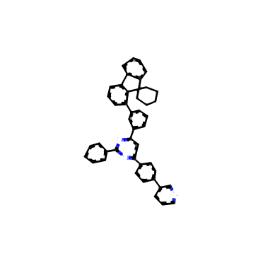 c1ccc(-c2nc(-c3ccc(-c4cccnc4)cc3)cc(-c3cccc(-c4cccc5c4C4(CCCCC4)c4ccccc4-5)c3)n2)cc1